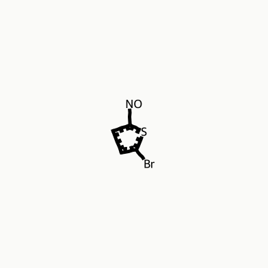 O=Nc1ccc(Br)s1